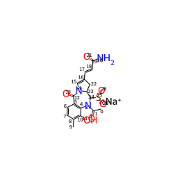 CC(=O)N1c2c(ccc(C)c2O)C(=O)N2C=C(C=CC(N)=O)CC2C1S(=O)[O-].[Na+]